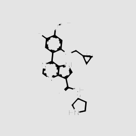 COc1cc(OCC2CC2)c(-c2ncnc3c(C(=O)N[C@@H]4CCNC4)c[nH]c23)cc1F.Cl